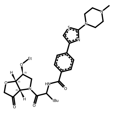 CCO[C@H]1CN(C(=O)C(NC(=O)c2ccc(-c3csc(N4CCN(C)CC4)n3)cc2)C(C)(C)C)[C@@H]2C(=O)CO[C@H]12